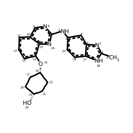 Cc1nc2cc(Nc3ncc4cccc(O[C@H]5CC[C@@H](O)CC5)c4n3)ccc2[nH]1